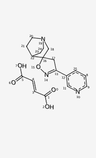 O=C(O)/C=C/C(=O)O.c1cncc(C2=NOC3(C2)CN2CCC3CC2)c1